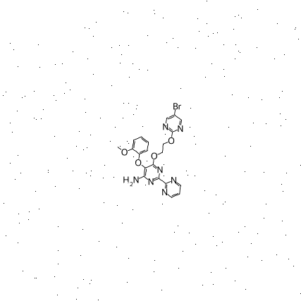 COc1ccccc1Oc1c(N)nc(-c2ncccn2)nc1OCCOc1ncc(Br)cn1